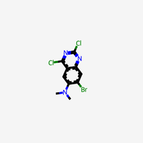 CN(C)c1cc2c(Cl)nc(Cl)nc2cc1Br